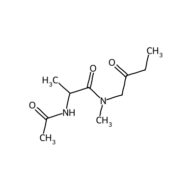 CCC(=O)CN(C)C(=O)C(C)NC(C)=O